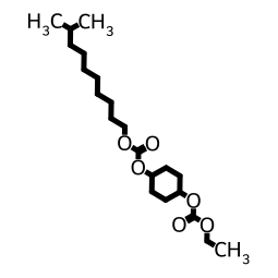 CCOC(=O)OC1CCC(OC(=O)OCCCCCCCCC(C)C)CC1